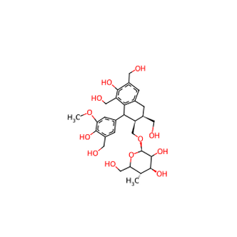 COc1cc(C2c3c(cc(CO)c(O)c3CO)C[C@@H](CO)[C@H]2CO[C@@H]2OC(CO)[C@@H](C)[C@H](O)C2O)cc(CO)c1O